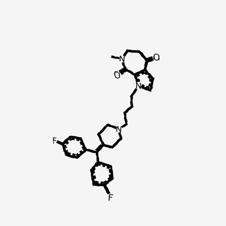 CN1CCC(=O)c2ccn(CCCCN3CCC(=C(c4ccc(F)cc4)c4ccc(F)cc4)CC3)c2C1=O